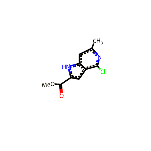 COC(=O)c1cc2c(Cl)nc(C)cc2[nH]1